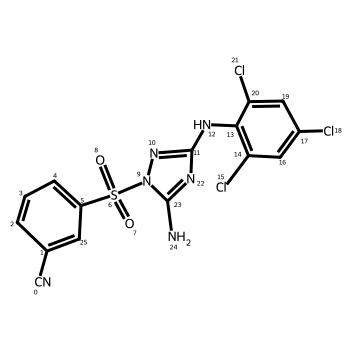 N#Cc1cccc(S(=O)(=O)n2nc(Nc3c(Cl)cc(Cl)cc3Cl)nc2N)c1